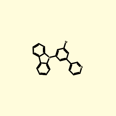 Brc1cc(-c2cccnc2)cc(-n2c3ccccc3c3ccccc32)c1